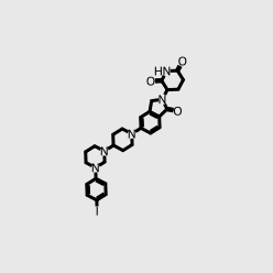 O=C1CCC(N2Cc3cc(N4CCC(N5CCCN(c6ccc(I)cc6)C5)CC4)ccc3C2=O)C(=O)N1